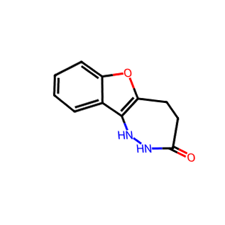 O=C1CCc2oc3ccccc3c2NN1